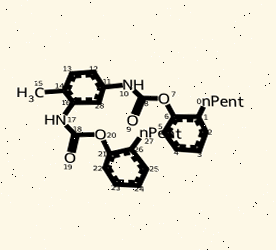 CCCCCc1ccccc1OC(=O)Nc1ccc(C)c(NC(=O)Oc2ccccc2CCCCC)c1